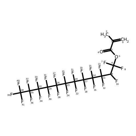 C=C(C)C(=O)OC(F)(F)C(F)C(F)(F)C(F)(F)C(F)(F)C(F)(F)C(F)(F)C(F)(F)C(F)(F)C(F)(F)C(F)(F)C(F)(F)F